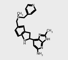 Cc1nc2c(C3Cc4cc(CN(C)Cc5ccncc5)ccc4N3)cc(N)nc2[nH]1